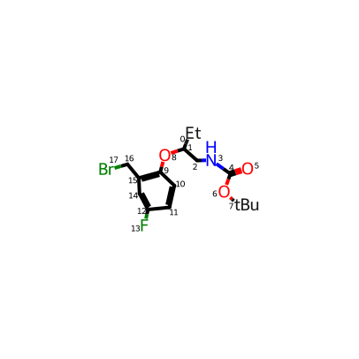 CCC(CNC(=O)OC(C)(C)C)Oc1ccc(F)cc1CBr